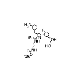 CC(C)(C)OC(=O)NCCCN[C@@H](c1nc(-c2cc(F)ccc2F)cn1Cc1cccc(N)c1)C(C)(C)C.OCCO